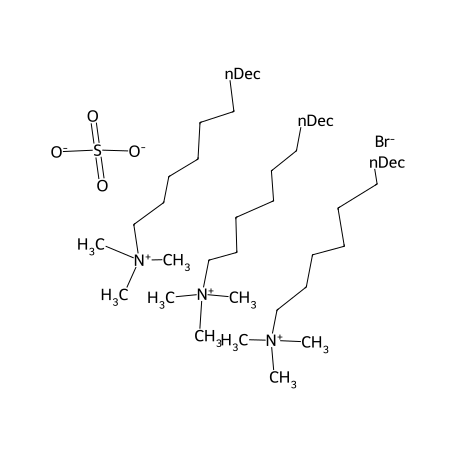 CCCCCCCCCCCCCCCC[N+](C)(C)C.CCCCCCCCCCCCCCCC[N+](C)(C)C.CCCCCCCCCCCCCCCC[N+](C)(C)C.O=S(=O)([O-])[O-].[Br-]